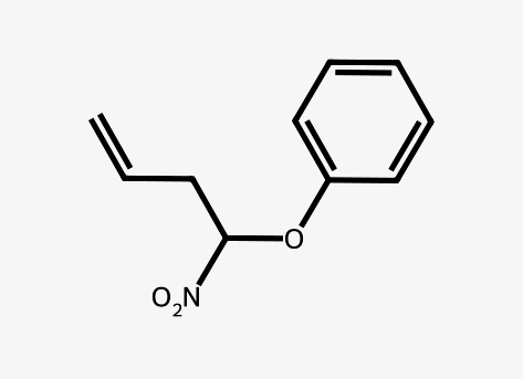 C=CCC(Oc1ccccc1)[N+](=O)[O-]